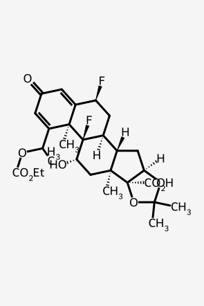 CCOC(=O)OC(C)C1=CC(=O)C=C2[C@@H](F)C[C@H]3[C@@H]4C[C@H]5OC(C)(C)O[C@@]5(C(=O)O)[C@@]4(C)C[C@H](O)[C@]3(F)[C@@]12C